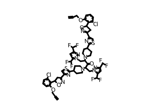 C#CCOc1cccc(Cl)c1C1CC(c2csc(C3CCN(C(Cn4nc(C(F)F)cc4C(F)F)C(=O)C(Cn4nc(C(F)F)cc4C(F)F)N4CCC(c5nc(C6=NOC(c7c(Cl)cccc7OCC#C)C6)cs5)CC4)CC3)n2)=NO1